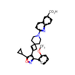 O=C(O)c1ccc2nc(N3CCC4(C=C(c5c(-c6ccccc6OC(F)(F)F)noc5C5CC5)C4)CC3)ccc2c1